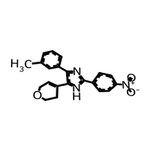 Cc1cccc(-c2nc(-c3ccc([N+](=O)[O-])cc3)[nH]c2C2=CCOCC2)c1